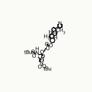 CC(C)(C)OC(=O)N[C@@H](Cc1cn(C(=O)OC(C)(C)C)cn1)C(=O)OCCOC(=O)O[C@H]1CC[C@@]2(C)C(=CC[C@@H]3[C@@H]2CC[C@]2(C)C(c4cccnc4)=CC[C@@H]32)C1